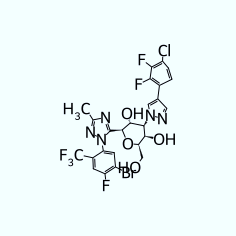 Cc1nc([C@@H]2O[C@H](CO)[C@H](O)[C@H](n3cc(-c4ccc(Cl)c(F)c4F)cn3)[C@H]2O)n(-c2cc(Br)c(F)cc2C(F)(F)F)n1